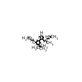 CNCCN(C)Cc1c[nH]nc1-c1cc(OCCOC)cc(C(C)(C)C)c1